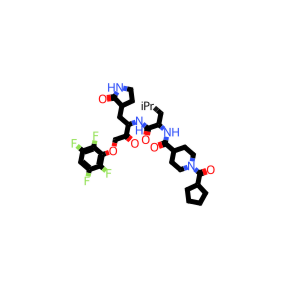 CC(C)CC(NC(=O)C1CCN(C(=O)C2CCCC2)CC1)C(=O)NC(CC1CCNC1=O)C(=O)COc1c(F)c(F)cc(F)c1F